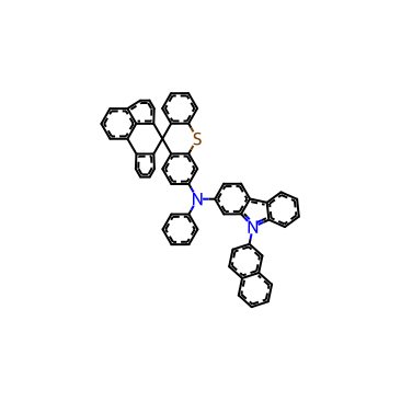 c1ccc(N(c2ccc3c(c2)Sc2ccccc2C32c3ccccc3-c3cccc4cccc2c34)c2ccc3c4ccccc4n(-c4ccc5ccccc5c4)c3c2)cc1